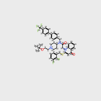 [2H]C([2H])([2H])OCCN1CCC(N(Cc2ccc(-c3ccc(C(F)(F)F)cc3)cc2)C(=O)Cn2c(SCc3cccc(F)c3F)cc(=O)c3ccccc32)CC1